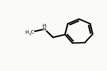 CNCC1=CCC=CC=C1